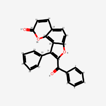 O=C(c1ccccc1)c1oc2ccc3ccc(=O)oc3c2c1-c1ccccc1